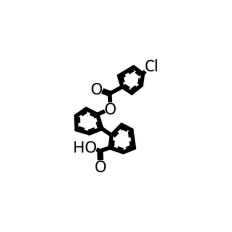 O=C(Oc1ccccc1-c1ccccc1C(=O)O)c1ccc(Cl)cc1